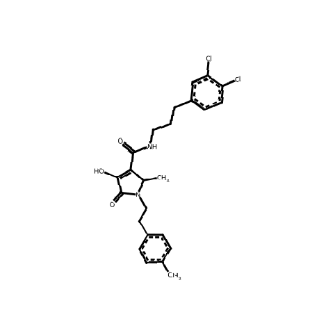 Cc1ccc(CCN2C(=O)C(O)=C(C(=O)NCCCc3ccc(Cl)c(Cl)c3)C2C)cc1